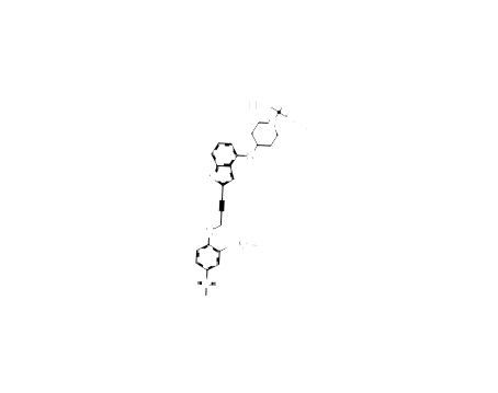 BC(B)(O)N1CCC(Nc2cccc3[nH]c(C#CCNc4ccc(S(C)(=O)=O)cc4OC)cc23)CC1